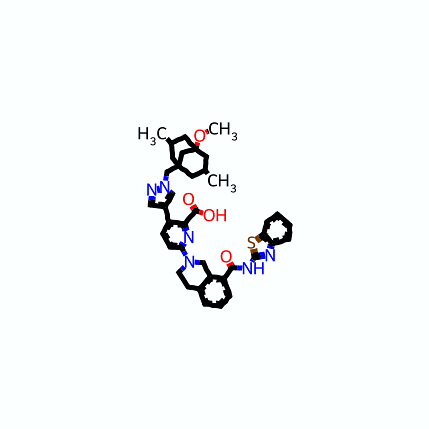 COC12CC(C)CC(Cn3cc(-c4ccc(N5CCc6cccc(C(=O)Nc7nc8ccccc8s7)c6C5)nc4C(=O)O)cn3)(CC(C)C1)C2